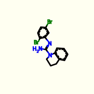 NC(=Nc1cc(Br)ccc1Br)N1CCCc2ccccc21